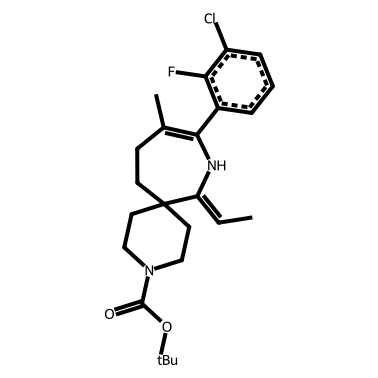 CC=C1NC(c2cccc(Cl)c2F)=C(C)CCC12CCN(C(=O)OC(C)(C)C)CC2